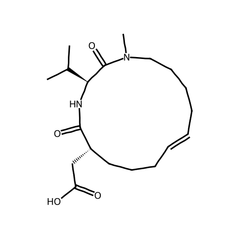 CC(C)[C@@H]1NC(=O)[C@@H](CC(=O)O)CCC/C=C/CCCCN(C)C1=O